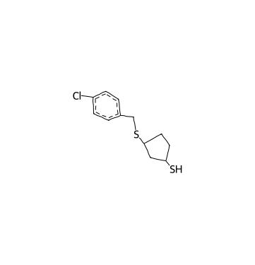 SC1CCC(SCc2ccc(Cl)cc2)C1